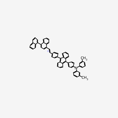 Cc1cccc(N(c2ccc(-c3c4ccccc4c(-c4ccc(/C=C/c5ccc(-c6cccc7ccccc67)c6ccccc56)cc4)c4ccccc34)cc2)c2cccc(C)c2)c1